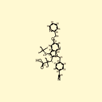 CC(C)(C)Sc1c(CC(C)(C)C(=O)O)n(Cc2ccc(C#N)cc2)c2ncc(OCc3ccccn3)cc12